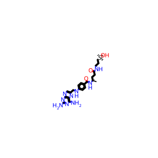 C[C@H](CCC(=O)NCCC[Si](C)(C)O)NC(=O)c1ccc(NCc2cnc3nc(N)nc(N)c3n2)cc1